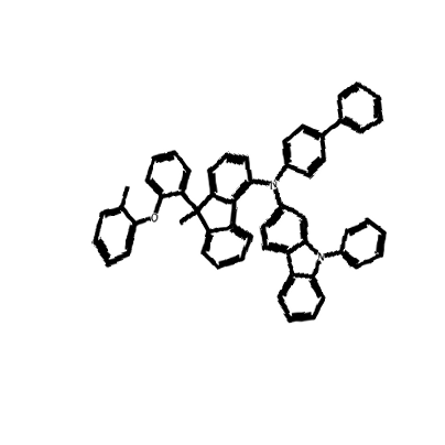 Cc1ccccc1Oc1ccccc1C1(C)c2ccccc2-c2c(N(c3ccc(-c4ccccc4)cc3)c3ccc4c5ccccc5n(-c5ccccc5)c4c3)cccc21